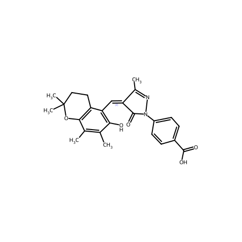 CC1=NN(c2ccc(C(=O)O)cc2)C(=O)/C1=C\c1c(O)c(C)c(C)c2c1CCC(C)(C)O2